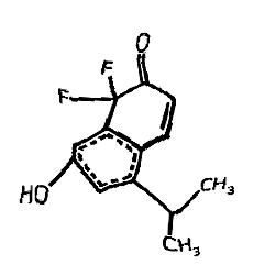 CC(C)c1cc(O)cc2c1C=CC(=O)C2(F)F